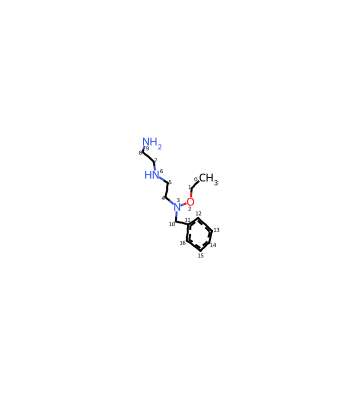 CCON(CCNCCN)Cc1ccccc1